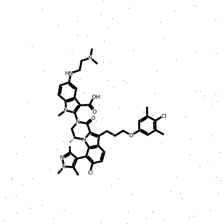 Cc1cc(OCCCc2c3n(c4c(-c5c(C)nn(C)c5C)c(Cl)ccc24)[C@H](C)CN(c2c(C(=O)O)c4cc(NCCN(C)C)ccc4n2C)C3=O)cc(C)c1Cl